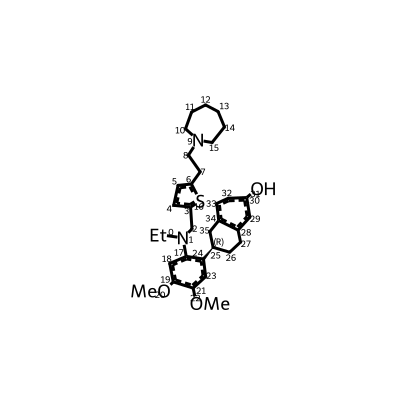 CCN(Cc1ccc(CCN2CCCCCC2)s1)c1cc(OC)c(OC)cc1[C@@H]1CCc2cc(O)ccc2C1